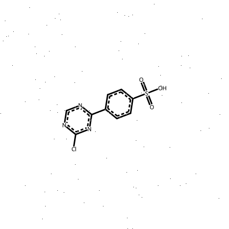 O=S(=O)(O)c1ccc(-c2n[c]nc(Cl)n2)cc1